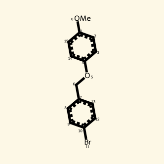 COc1ccc(OCc2ccc(Br)cc2)cc1